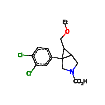 CCOCC1C2CN(C(=O)O)CC12c1ccc(Cl)c(Cl)c1